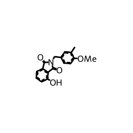 COc1ccc(CN2C(=O)c3cccc(O)c3C2=O)cc1C